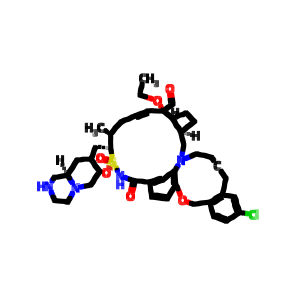 CCO[C@]1(C=O)/C=C/C[C@H](C)[C@@H](CC2CCN3CCNC[C@H]3C2)S(=O)(=O)NC(=O)c2ccc3c(c2)N(CCCCc2cc(Cl)ccc2CO3)C[C@@H]2CC[C@H]21